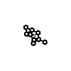 c1ccc(-c2cc(-c3ccccc3)cc(-c3cccc(-c4ccc5c6ccccc6c6ccccc6c5c4)c3-n3c4ccccc4c4ccccc43)c2)cc1